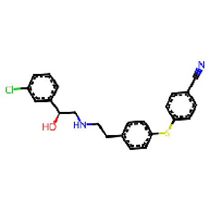 N#Cc1ccc(Sc2ccc(CCNC[C@@H](O)c3cccc(Cl)c3)cc2)cc1